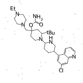 CCN1CCN(CC2(OC(N)=O)CCN(C3CCC(c4cc(Cl)cc5ncccc45)CN3)C(C(C)(C)C)C2)CC1